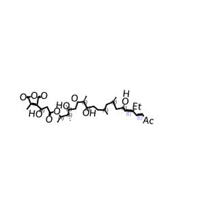 CCC(/C=C/C(C)=O)=C\[C@@H](O)C[C@H](C)C[C@@H](C)CC[C@H](O)[C@H](C)C(=O)C[C@@H](O)[C@H](C)[C@@H](C)OC(=O)C[C@@H](O)C1=C(C)C(=O)OC1=O